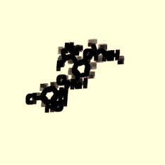 Cn1ncc(F)c1-c1cc(NC(=O)Nc2ccc(Cl)cc2O)ccc1OC(C)(C)CN